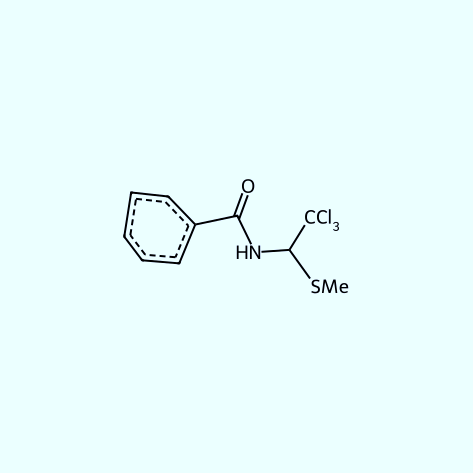 CSC(NC(=O)c1ccccc1)C(Cl)(Cl)Cl